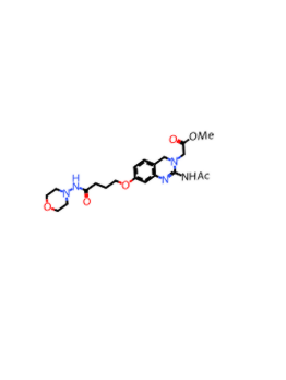 COC(=O)CN1Cc2ccc(OCCCC(=O)NN3CCOCC3)cc2N=C1NC(C)=O